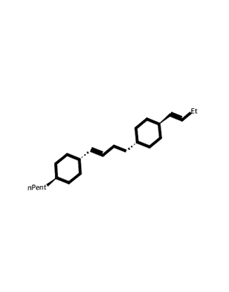 CCC=C[C@H]1CC[C@H](CCC=C[C@H]2CC[C@H](CCCCC)CC2)CC1